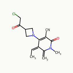 C=c1/c(=C\C)c(N2CC(C(=O)CCl)C2)c(C#N)c(=O)n1C